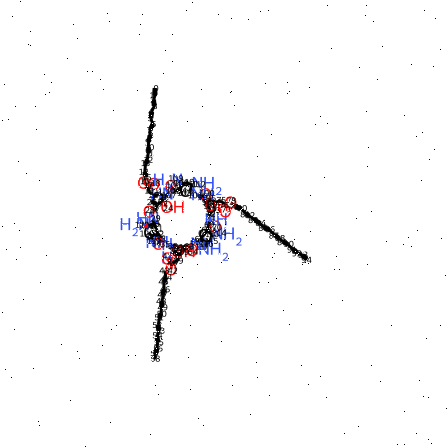 C#CC#CC#CC#CC#CC#CC#CC#COC(=O)Cc1cc2c(O)c(c1)C(=O)NC1CC(C(=O)Nc3cc(CC(=O)OCC#CC#CC#CC#CC#CC#CC#CC)cc(c3O)C(=O)NC3CC(C(=O)Nc4cc(CC(=O)OC#CC#CC#CC#CC#CC#CC#CC#C)cc(c4O)C(=O)NC4CC(C(=O)N2)C(N)CC4N)C(N)CC3N)C(N)CC1N